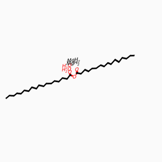 CCCCCCCCCCCCCCCCCC(=O)OC(=O)CCCCCCCCCCCCCCC.O.O.[MgH2].[MgH2]